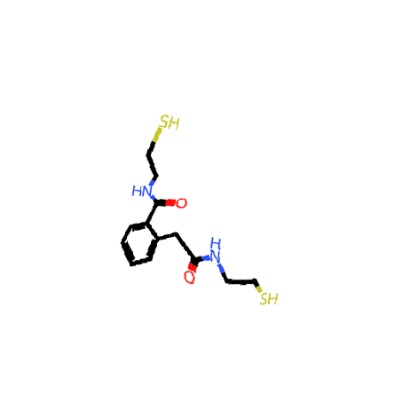 O=C(Cc1ccccc1C(=O)NCCS)NCCS